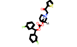 O=C(OC(c1cccc(F)c1)c1cccc(F)c1)O[C@H]1C[N+]2(CC(=O)c3cccs3)CCC1CC2